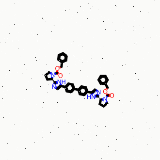 O=C(OCc1ccccc1)N1CCC[C@@H]1c1ncc(-c2ccc(-c3ccc(-c4cnc([C@H]5CCCN5C(=O)OCc5ccccc5)[nH]4)cc3)cc2)[nH]1